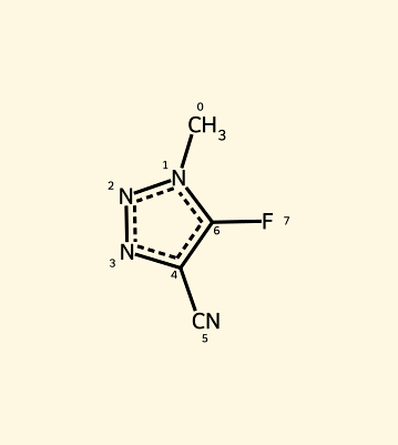 Cn1nnc(C#N)c1F